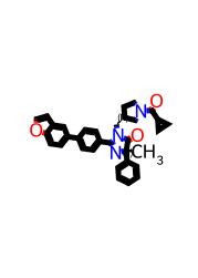 C[C@@]1(c2ccccc2)N=C(c2ccc(-c3ccc4occc4c3)cc2)N(C[C@@H]2CCN(C(=O)C3CC3)C2)C1=O